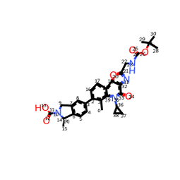 Cc1c(-c2ccc3c(c2)CN(C(=O)O)[C@@H]3C)ccc2c3oc(CNC(=O)OC(C)(C)C)nc3c(=O)n(C3CC3)c12